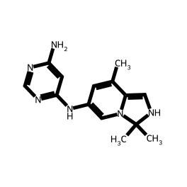 CC1=CC(Nc2cc(N)ncn2)=CN2C1=CNC2(C)C